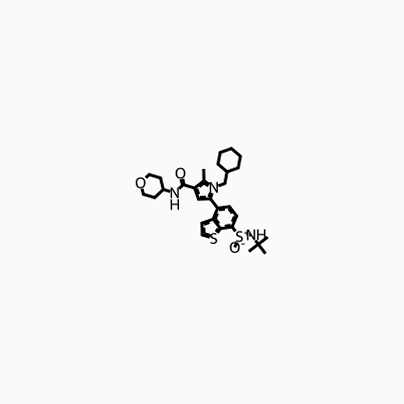 Cc1c(C(=O)NC2CCOCC2)cc(-c2ccc([S+]([O-])NC(C)(C)C)c3sccc23)n1CC1CCCCC1